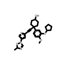 COc1ccc(C2(C#Cc3cc(N4C=NC(C)O4)cs3)CCC(O)CC2)cc1OC1CCCC1